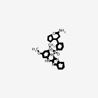 COc1cc(Nc2nc3ccccc3nc2NS(=O)(=O)c2cccc(C(CC(N)=O)C3CCCC3)c2)cc(OC)c1